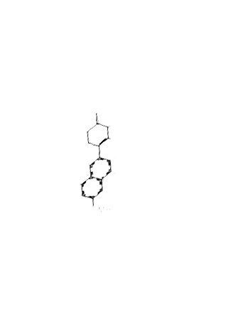 COc1ccc2cc(C3=CCC(C)CC3)ccc2c1